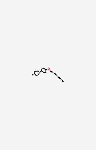 C#CC#CC#CC#COc1ccc(-c2ccc(C)cc2)cc1